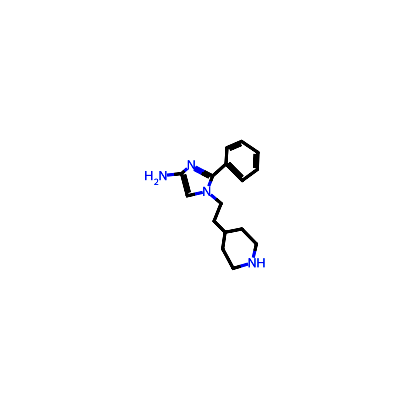 Nc1cn(CCC2CCNCC2)c(-c2ccccc2)n1